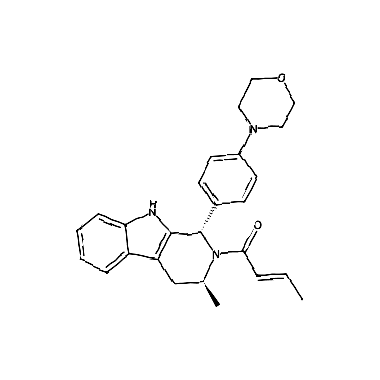 C/C=C/C(=O)N1[C@@H](c2ccc(N3CCOCC3)cc2)c2[nH]c3ccccc3c2C[C@@H]1C